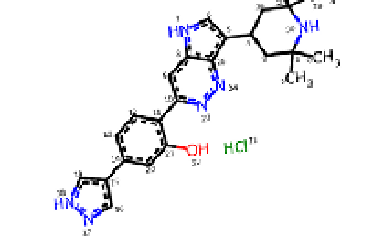 CC1(C)CC(c2c[nH]c3cc(-c4ccc(-c5cn[nH]c5)cc4O)nnc23)CC(C)(C)N1.Cl